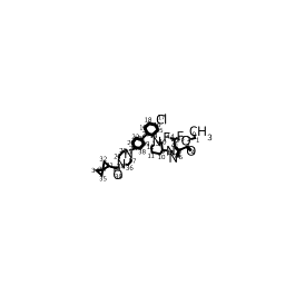 CCOC(=O)c1cnn(C2CCCN(c3cc(Cl)ccc3-c3ccc(N4CCN(C(=O)C5CC56CC6)CC4)cc3)C2)c1C(F)F